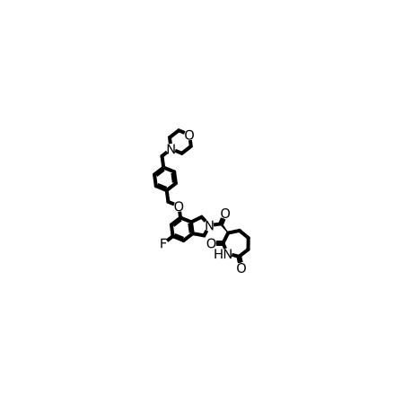 O=C1CCC[C@H](C(=O)N2Cc3cc(F)cc(OCc4ccc(CN5CCOCC5)cc4)c3C2)C(=O)N1